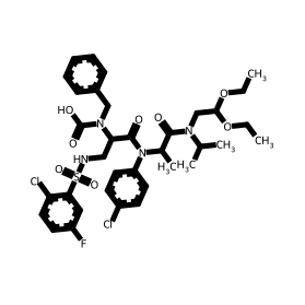 CCOC(CN(C(=O)C(C)N(C(=O)C(CNS(=O)(=O)c1cc(F)ccc1Cl)N(Cc1ccccc1)C(=O)O)c1ccc(Cl)cc1)C(C)C)OCC